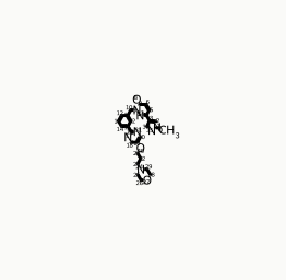 Cn1cc(-c2ccc(=O)n(Cc3cccc(-c4ncc(OCCCN5CCOCC5)cn4)c3)n2)cn1